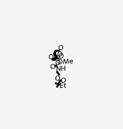 CCC(C)(C)C(=O)OCCNC(=O)OC1C2OC(=O)C3C2OC1C3C(=O)OC